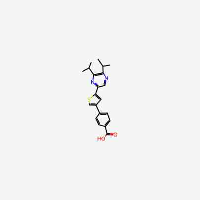 CC(C)c1ncc(-c2cc(-c3ccc(C(=O)O)cc3)cs2)nc1C(C)C